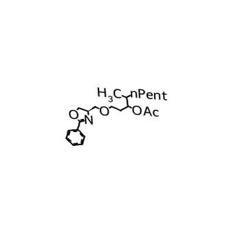 CCCCCC(C)C(CCOC[C@@H]1COC(c2ccccc2)=N1)OC(C)=O